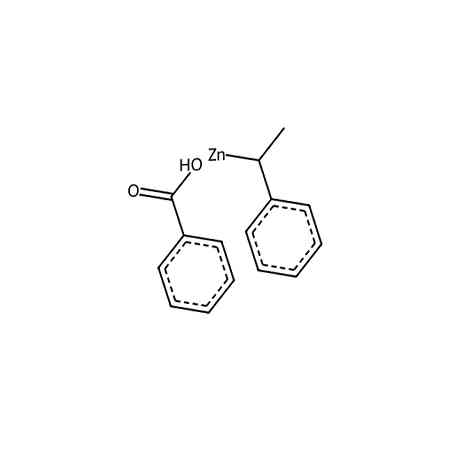 C[CH]([Zn])c1ccccc1.O=C(O)c1ccccc1